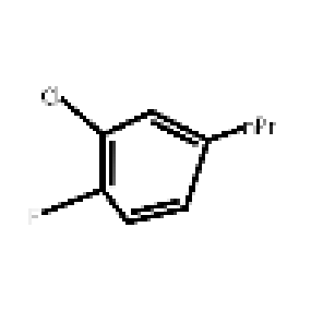 CC[CH]c1ccc(F)c(Cl)c1